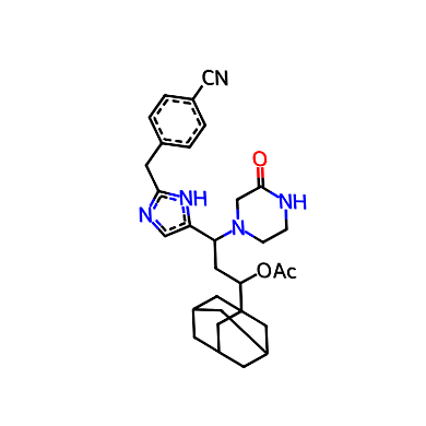 CC(=O)OC(CC(c1cnc(Cc2ccc(C#N)cc2)[nH]1)N1CCNC(=O)C1)C12CC3CC(CC(C3)C1)C2